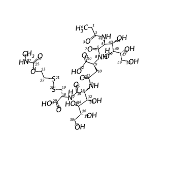 CCC(=O)N[C@H](C(=O)N[C@@H](CC(=O)N[C@H](C(=O)N[C@@H](CSSCCOC(=O)NC)C(=O)O)[C@@H](O)[C@H](O)[C@H](O)CO)C(=O)O)[C@@H](O)[C@H](O)[C@H](O)CO